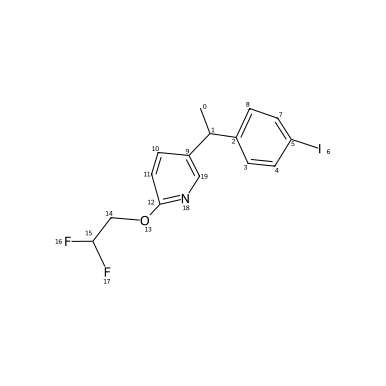 CC(c1ccc(I)cc1)c1ccc(OCC(F)F)nc1